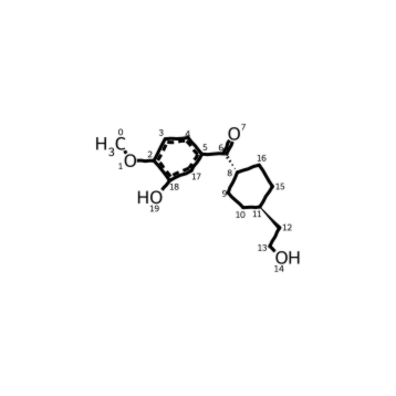 COc1ccc(C(=O)[C@H]2CC[C@H](CCO)CC2)cc1O